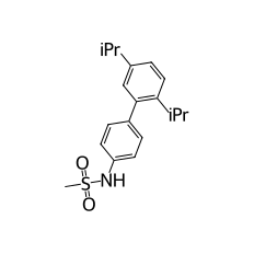 CC(C)c1ccc(C(C)C)c(-c2ccc(NS(C)(=O)=O)cc2)c1